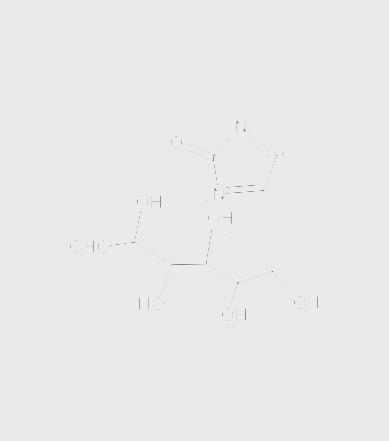 O=C1N=CC=N1.O=CC(O)C(O)C(O)C(O)CO